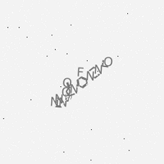 O=C1O[C@H](Cn2ccnn2)CN1c1ccc(N2CCN(C3COC3)CC2)c(F)c1